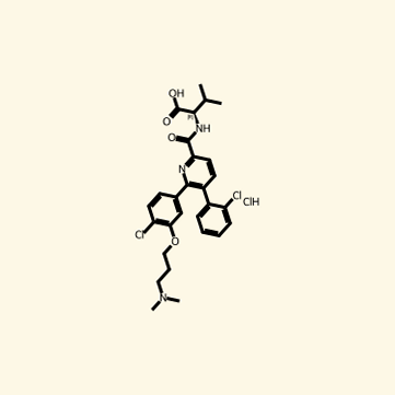 CC(C)[C@@H](NC(=O)c1ccc(-c2ccccc2Cl)c(-c2ccc(Cl)c(OCCCN(C)C)c2)n1)C(=O)O.Cl